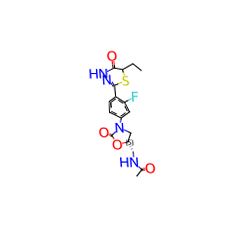 CCC1SC(c2ccc(N3C[C@H](CNC(C)=O)OC3=O)cc2F)=NNC1=O